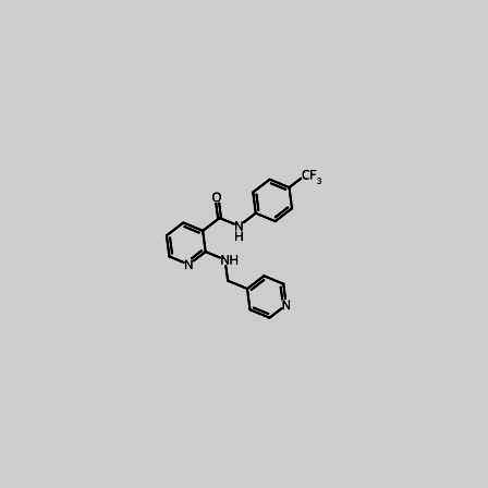 O=C(Nc1ccc(C(F)(F)F)cc1)c1cccnc1NCc1ccncc1